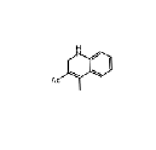 CC(=O)C1=C(C)c2ccccc2NC1